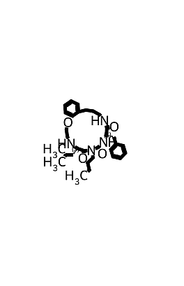 CCCCN1C(=O)N[C@@H](Cc2ccccc2)C(=O)NCCCc2ccccc2OCCN[C@@H](CC(C)C)C1=O